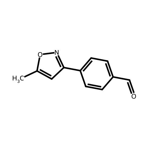 Cc1cc(-c2ccc(C=O)cc2)no1